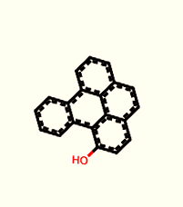 Oc1ccc2ccc3cccc4c5ccccc5c1c2c34